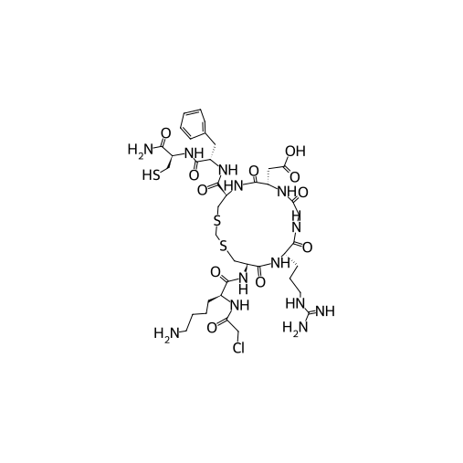 N=C(N)NCCC[C@@H]1NC(=O)[C@@H](NC(=O)[C@H](CCCCN)NC(=O)CCl)CSCSC[C@@H](C(=O)N[C@@H](Cc2ccccc2)C(=O)N[C@@H](CS)C(N)=O)NC(=O)[C@H](CC(=O)O)NC(=O)CNC1=O